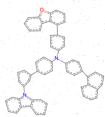 c1cc(-c2ccc(N(c3ccc(-c4cccc5ccccc45)cc3)c3ccc(-c4cccc5oc6ccccc6c45)cc3)cc2)cc(-n2c3ccccc3c3ccccc32)c1